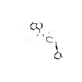 CON[C@@H](CC[C@@H]1CCN(CC#Cc2cc(F)cc(F)c2)C[C@@H]1CO)c1ccnc2ccc(OC)cc12